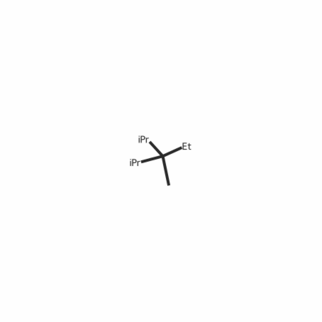 CCC(C)(C(C)C)C(C)C